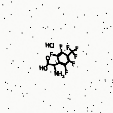 Cl.NC(C(=O)O)c1c(F)c(F)c(C(F)(F)F)c(F)c1F